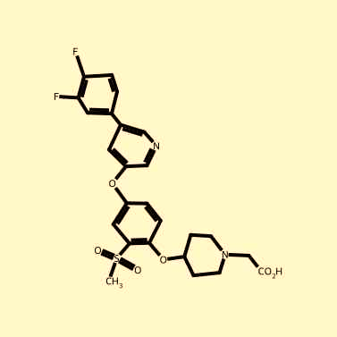 CS(=O)(=O)c1cc(Oc2cncc(-c3ccc(F)c(F)c3)c2)ccc1OC1CCN(CC(=O)O)CC1